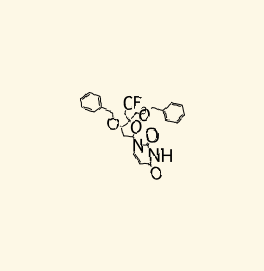 O=c1ccn([C@H]2C[C@H](OCc3ccccc3)[C@](COCc3ccccc3)(CC(F)(F)F)O2)c(=O)[nH]1